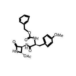 COc1ccc(C[C@H](NC(=O)OCc2ccccc2)C(=O)N[C@@H]2C(=O)N[C@H]2OC(C)=O)cc1